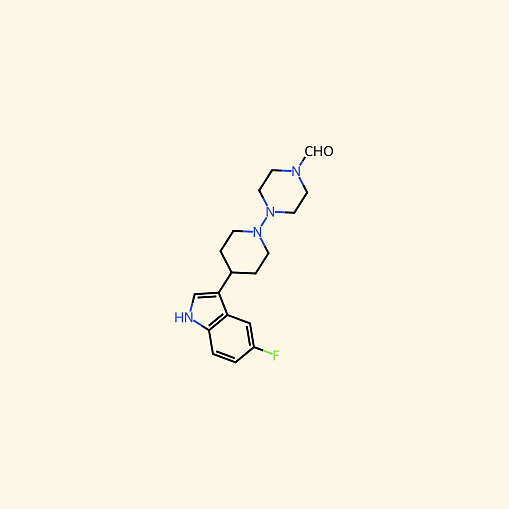 O=CN1CCN(N2CCC(c3c[nH]c4ccc(F)cc34)CC2)CC1